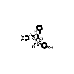 CC(C)CN(C[C@@H](O)[C@H](Cc1ccccc1)NC(=O)O[C@H]1CCS(=O)(=O)C1)S(=O)(=O)c1ccc(O)cc1